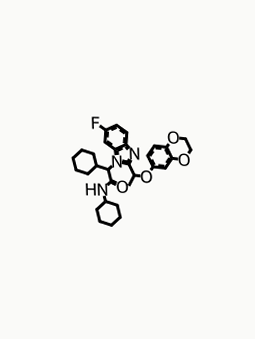 CC(Oc1ccc2c(c1)OCCO2)c1nc2ccc(F)cc2n1C(C(=O)NC1CCCCC1)C1CCCCC1